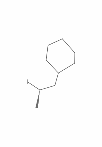 C[C@@H](I)CC1CCCCC1